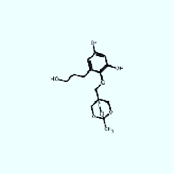 CC12OCC(COc3c(O)cc(Br)cc3CCCO)(CO1)CO2